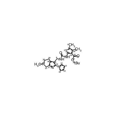 Cc1sc(NC(=O)NCc2c(-n3cccc3)sc3c2CCN(C)C3)c(C(=O)OC(C)(C)C)c1C